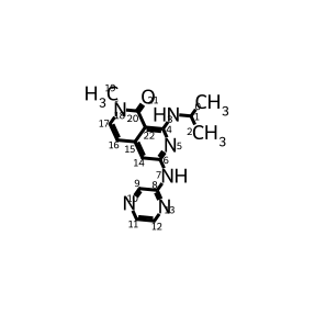 CC(C)Nc1nc(Nc2cnccn2)cc2ccn(C)c(=O)c12